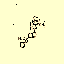 Cc1cc(C)c(CNC(=O)c2ccc([C@H](C)Oc3ccccc3)cc2F)c(O)n1